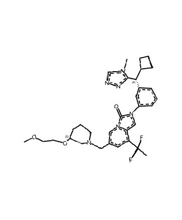 COCCO[C@H]1CCCN(Cc2cc(C(C)(F)F)c3cn(-c4cccc([C@H](c5nncn5C)C5CCC5)c4)c(=O)n3c2)C1